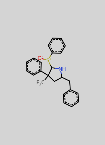 [O-][S+](c1ccccc1)C1NC(Cc2ccccc2)CC1(c1ccccc1)C(F)(F)F